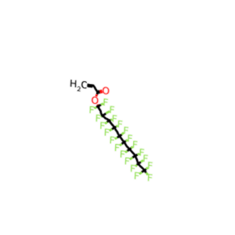 C=CC(=O)OC(F)(F)C(F)(F)C(F)(F)C(F)(F)C(F)(F)C(F)(F)C(F)(F)C(F)(F)C(F)(F)C(F)(F)F